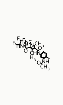 CC(=O)Nc1cc(NC(=O)c2c(C)c(C(=O)C(=O)NC(CF)C(F)F)n(C)c2C)ccc1F